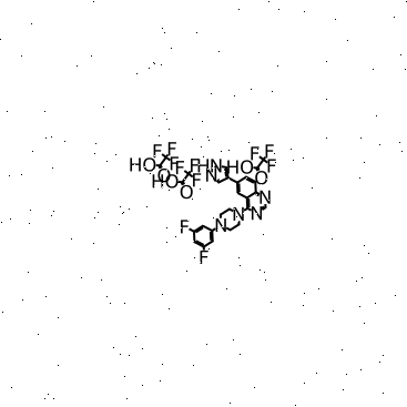 Fc1cc(F)cc(N2CCN(c3ncnc4ccc(-c5cn[nH]c5)cc34)CC2)c1.O=C(O)C(F)(F)F.O=C(O)C(F)(F)F.O=C(O)C(F)(F)F